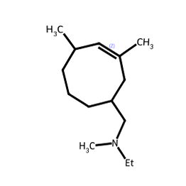 CCN(C)CC1CCCC(C)/C=C(/C)C1